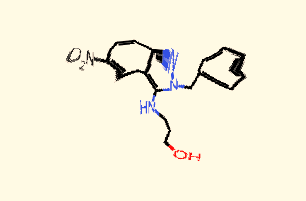 O=[N+]([O-])c1ccc2nn(Cc3ccccc3)c(NCCO)c2c1